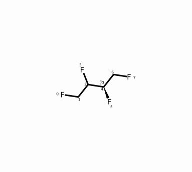 FCC(F)[C@H](F)CF